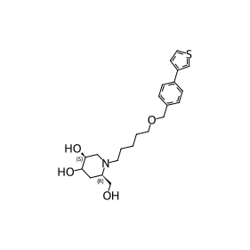 OC[C@H]1CC(O)[C@@H](O)CN1CCCCCOCc1ccc(-c2ccsc2)cc1